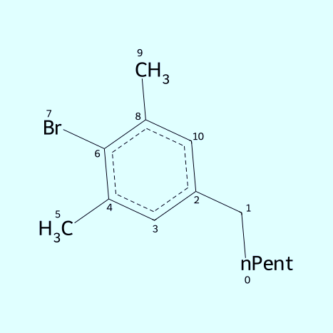 CCCCCCc1cc(C)c(Br)c(C)c1